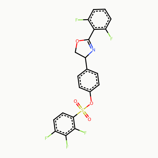 O=S(=O)(Oc1ccc(C2COC(c3c(F)cccc3F)=N2)cc1)c1ccc(F)c(F)c1F